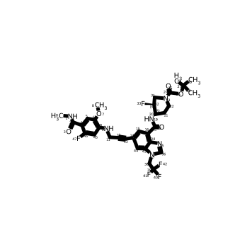 CNC(=O)c1cc(OC)c(NCC#Cc2cc(C(=O)N[C@H]3CCN(C(=O)OC(C)(C)C)C[C@@H]3F)c3ncn(CC(F)(F)F)c3c2)cc1F